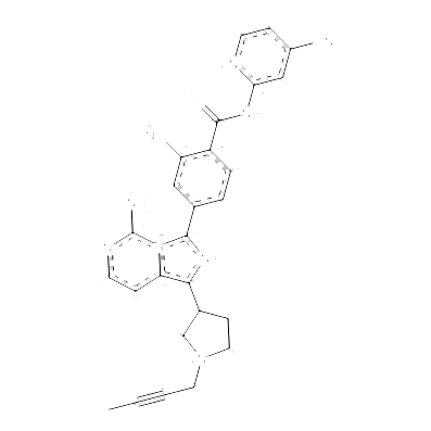 CC#CCN1CCC(c2nc(-c3ccc(C(=O)Nc4cc(C#N)ccn4)c(C#N)c3)n3c(N)nccc23)C1